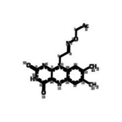 CC(=O)CO/N=C/Cn1c2nc(=O)[nH]c(=O)c-2nc2cc(C)c(C)cc21